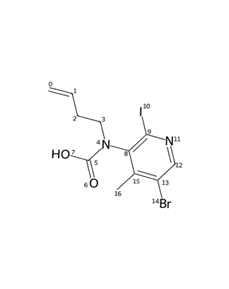 C=CCCN(C(=O)O)c1c(I)ncc(Br)c1C